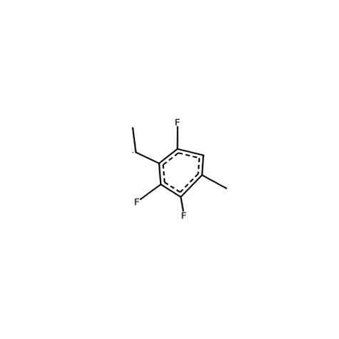 C[CH]c1c(F)cc(C)c(F)c1F